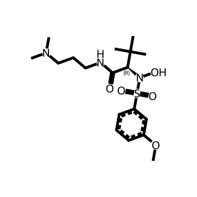 COc1cccc(S(=O)(=O)N(O)[C@@H](C(=O)NCCCN(C)C)C(C)(C)C)c1